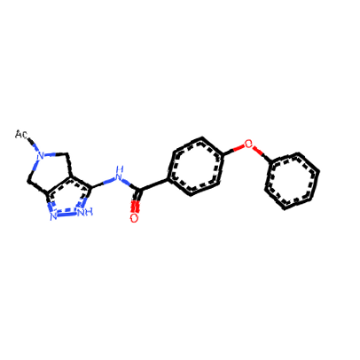 CC(=O)N1Cc2n[nH]c(NC(=O)c3ccc(Oc4ccccc4)cc3)c2C1